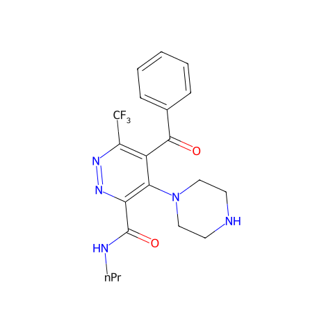 CCCNC(=O)c1nnc(C(F)(F)F)c(C(=O)c2ccccc2)c1N1CCNCC1